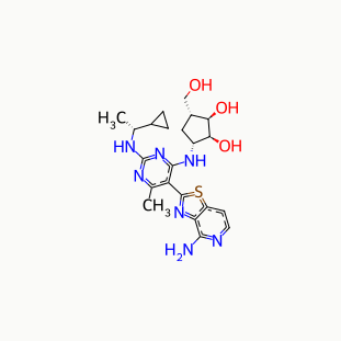 Cc1nc(N[C@H](C)C2CC2)nc(N[C@@H]2C[C@H](CO)[C@@H](O)[C@H]2O)c1-c1nc2c(N)nccc2s1